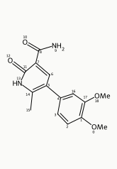 COc1ccc(-c2cc(C(N)=O)c(=O)[nH]c2C)cc1OC